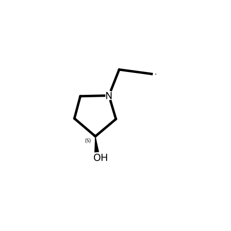 [CH2]CN1CC[C@H](O)C1